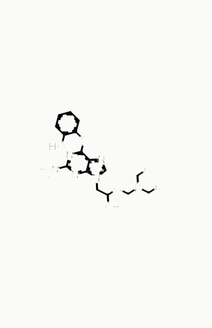 CC(Cn1cnc2c(Sc3ccccc3O)nc(N)nc21)OCP(CC(F)(F)F)CC(F)(F)F